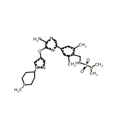 Cc1cc(-c2cnc(N)c(Oc3cnn(C4CCN(C)CC4)c3)n2)cc(C)c1CNS(=O)(=O)N(C)C